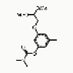 COC(COc1cc(C)cc(OC(=O)N(C)C)c1)OC